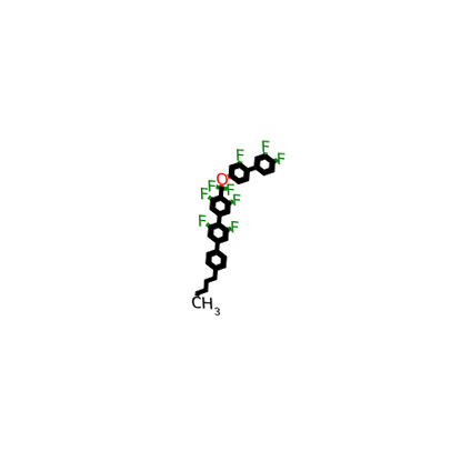 CCCCCc1ccc(-c2cc(F)c(-c3cc(F)c(C(F)(F)Oc4ccc(-c5ccc(F)c(F)c5)c(F)c4)c(F)c3)c(F)c2)cc1